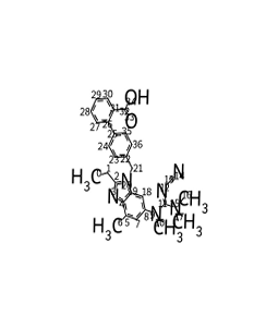 CCc1nc2c(C)cc(N(C)C(=NC#N)N(C)C)cc2n1Cc1ccc(-c2ccccc2C(=O)O)cc1